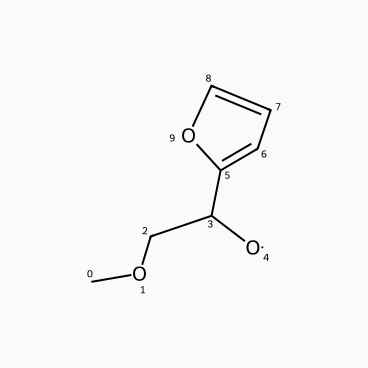 COCC([O])c1ccco1